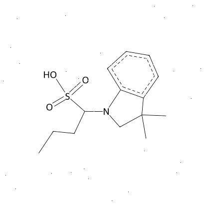 CCCC(N1CC(C)(C)c2ccccc21)S(=O)(=O)O